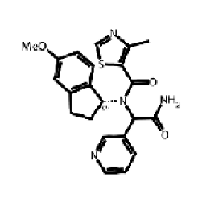 COc1ccc2c(c1)CC[C@H]2N(C(=O)c1scnc1C)C(C(N)=O)c1cccnc1